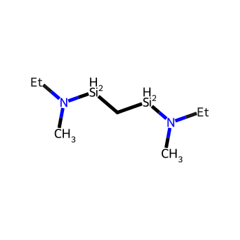 CCN(C)[SiH2]C[SiH2]N(C)CC